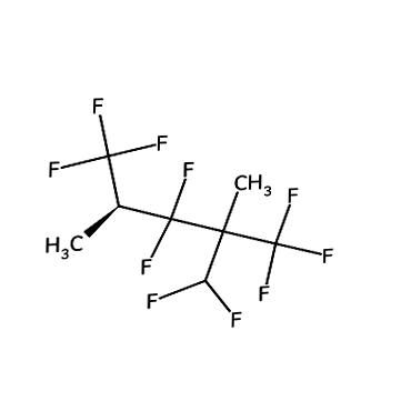 C[C@@H](C(F)(F)F)C(F)(F)C(C)(C(F)F)C(F)(F)F